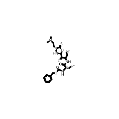 CC(C)CC(NC(=O)[C@H](CC(C)C)NC(=O)OCc1ccccc1)C(=O)C1NN(CCN(C)C)C(=S)O1